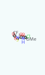 COc1cc2[nH]c3c(c(=O)c2cc1Cl)C(=O)CC(c1csc(Oc2ccc(OC(F)(F)F)cc2)n1)C3